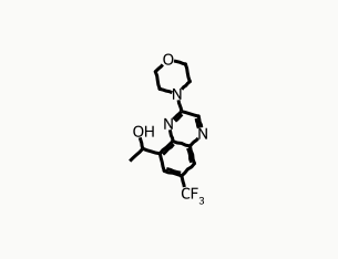 CC(O)c1cc(C(F)(F)F)cc2ncc(N3CCOCC3)nc12